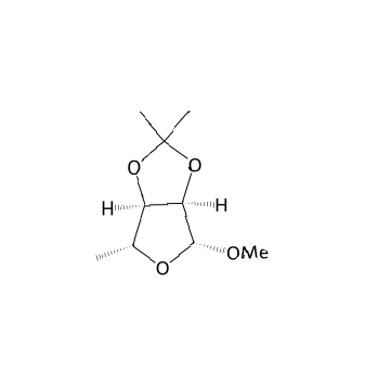 CO[C@@H]1O[C@H](C)[C@H]2OC(C)(C)O[C@@H]12